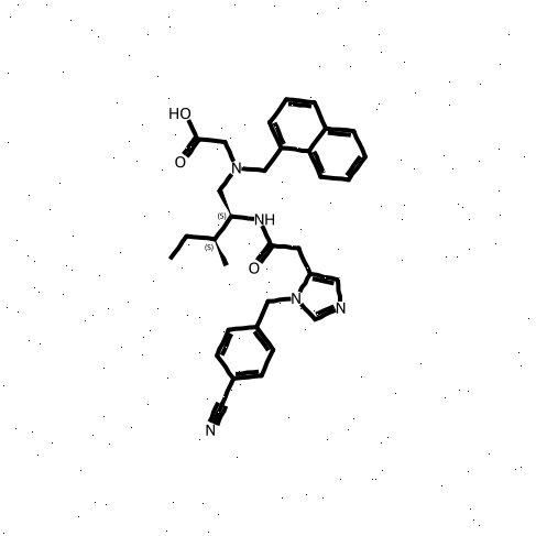 CC[C@H](C)[C@@H](CN(CC(=O)O)Cc1cccc2ccccc12)NC(=O)Cc1cncn1Cc1ccc(C#N)cc1